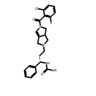 CCCC(=O)N[C@@H](CCN1CC2=CN(C(=O)c3c(F)cccc3Cl)CC2C1)c1ccccc1